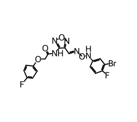 O=C(COc1ccc(F)cc1)Nc1nonc1/C=N/ONc1ccc(F)c(Br)c1